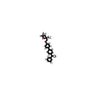 CC(=O)C(C)(C)CC(C)(CCc1ccc(-c2ccc(C(=O)c3ccccc3)cc2)cc1)C(C)=O